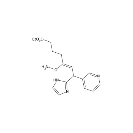 CCOC(=O)CCCC(=CC(c1cccnc1)c1ncc[nH]1)ON